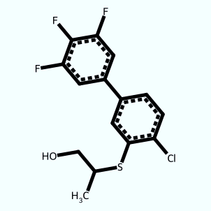 CC(CO)Sc1cc(-c2cc(F)c(F)c(F)c2)ccc1Cl